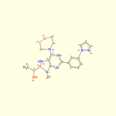 CCN1c2nc(-c3cccc(-n4cccn4)c3)nc(N3CCOCC3)c2NC1C(C)O